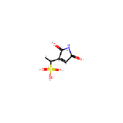 CC(C1=CC(=O)NC1=O)S(=O)(=O)O